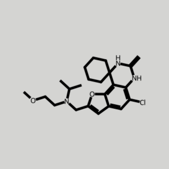 C=C1Nc2c(Cl)cc3cc(CN(CCOC)C(C)C)oc3c2C2(CCCCC2)N1